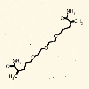 C=C(CCCOCCOCCOCCCC(=C)C(N)=O)C(N)=O